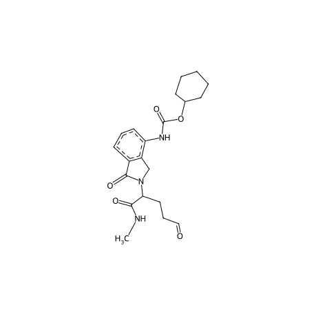 CNC(=O)C(CCC=O)N1Cc2c(NC(=O)OC3CCCCC3)cccc2C1=O